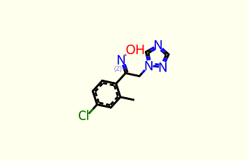 Cc1cc(Cl)ccc1/C(Cn1cncn1)=N/O